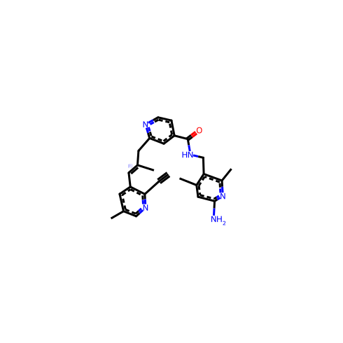 C#Cc1ncc(C)cc1/C=C(\C)Cc1cc(C(=O)NCc2c(C)cc(N)nc2C)ccn1